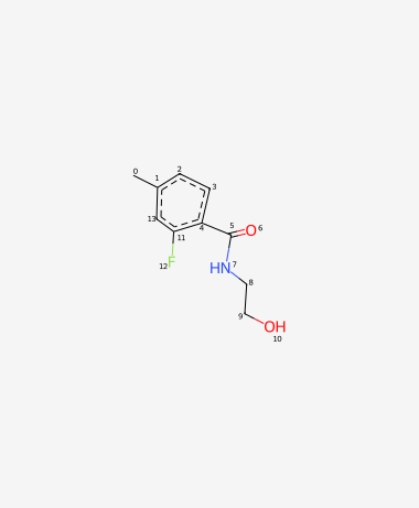 Cc1ccc(C(=O)NCCO)c(F)c1